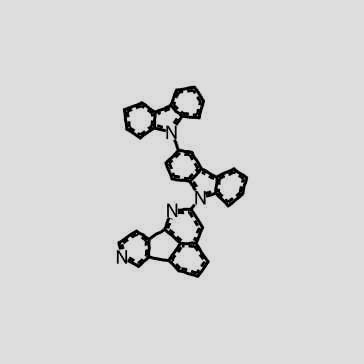 c1cc2c3c(nc(-n4c5ccccc5c5cc(-n6c7ccccc7c7ccccc76)ccc54)cc3c1)-c1ccncc1-2